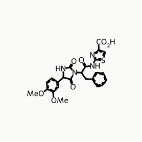 COc1ccc(C2NC(=O)N(C(Cc3ccccc3)C(=O)Nc3nc(C(=O)O)cs3)C2=O)cc1OC